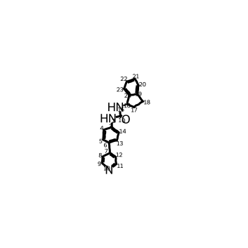 O=C(Nc1ccc(-c2ccncc2)cc1)N[C@@H]1CCc2ccccc21